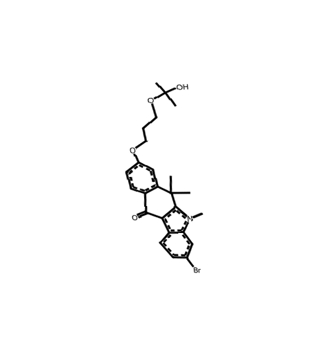 Cn1c2c(c3ccc(Br)cc31)C(=O)c1ccc(OCCCOC(C)(C)O)cc1C2(C)C